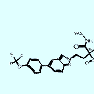 C[C@@](CCn1cc2cc(-c3ccc(OC(F)(F)F)cc3)ccc2n1)(C(=O)NO)S(C)(=O)=O